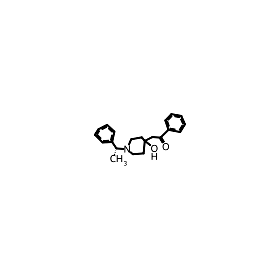 C[C@H](c1ccccc1)N1CCC(O)(CC(=O)c2ccccc2)CC1